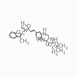 Cc1c(CN(C)C(=O)/C=C/c2cnc3c(c2)NC[C@H](NC(=O)OC(C)(C)C)C(=O)N3)oc2ccccc12